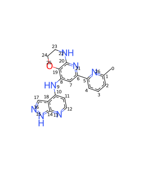 Cc1cccc(-c2cc(Nc3ccnc4[nH]ncc34)c3c(n2)NCCO3)n1